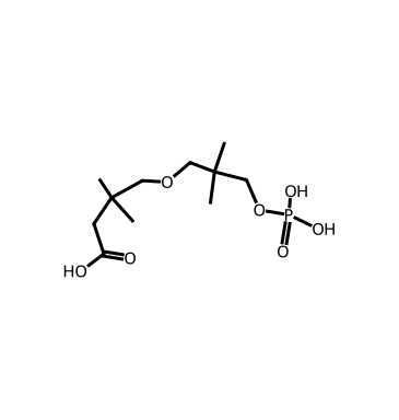 CC(C)(COCC(C)(C)CC(=O)O)COP(=O)(O)O